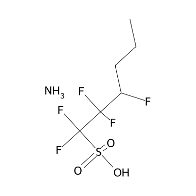 CCCC(F)C(F)(F)C(F)(F)S(=O)(=O)O.N